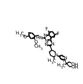 COc1ccc(CNc2nc3c(F)cc(F)cc3c3nc(C4CCC(C)N(c5cnn(C(C)(CO)CO)c5)C4)nn23)c(OC)c1